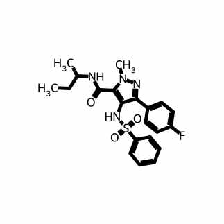 CCC(C)NC(=O)c1c(NS(=O)(=O)c2ccccc2)c(-c2ccc(F)cc2)nn1C